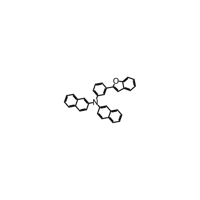 c1cc(-c2cc3ccccc3o2)cc(N(c2ccc3ccccc3c2)c2ccc3ccccc3c2)c1